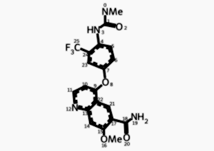 CNC(=O)Nc1ccc(Oc2ccnc3cc(OC)c(C(N)=O)cc23)cc1C(F)(F)F